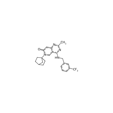 Cc1nc(NCc2cccc(C(F)(F)F)c2)c2cn(C34CCC(CC3)C4)c(=O)cc2n1